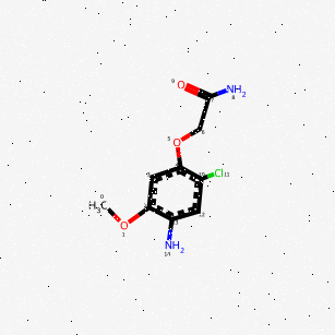 COc1cc(OCC(N)=O)c(Cl)cc1N